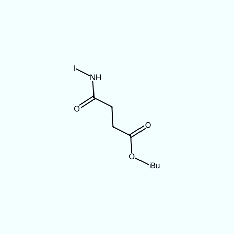 CCC(C)OC(=O)CCC(=O)NI